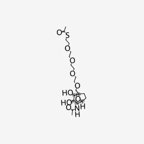 CC(=O)N[C@@H]1[C@@H](O)[C@@H](O)[C@]2(COCCOCCOCCOCCSC(C)=O)CC[C@H]1O2